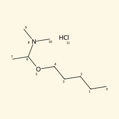 CCCCCOC(C)N(C)C.Cl